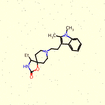 CCC1NC(=O)OC12CCN(CCc1c(C)n(C)c3ccccc13)CC2